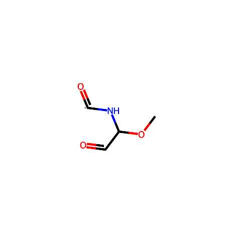 COC(C=O)N[C]=O